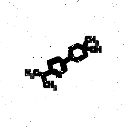 CC(C)c1ccc(N2CCC(C)(O)CC2)cn1